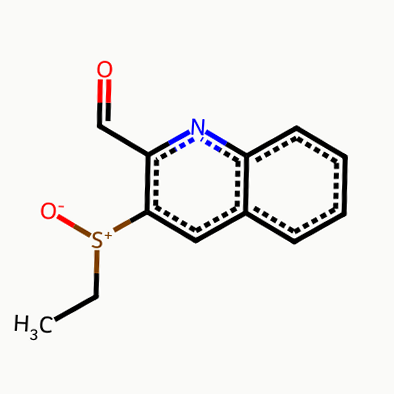 CC[S+]([O-])c1cc2ccccc2nc1C=O